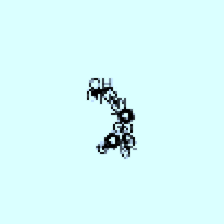 COc1ccc(S(=O)(=O)Oc2ccc3nc(C4=NC(C(=O)O)CS4)sc3c2)c([N+](=O)[O-])c1